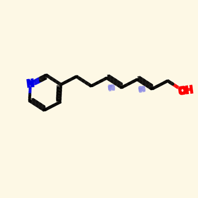 OC/C=C/C=C/CCc1cccnc1